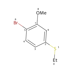 CCSc1ccc(Br)c(OC)c1